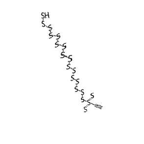 C#CS(=S)(=S)SSSSSSSSSSSSSSSS